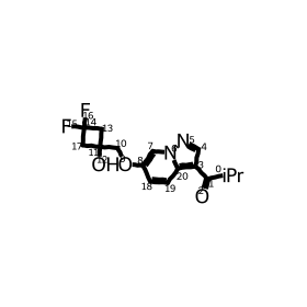 CC(C)C(=O)c1cnn2cc(OCC3(O)CC(F)(F)C3)ccc12